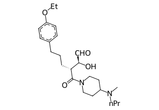 CCCN(C)C1CCN(C(=O)[C@H](CCCc2ccc(OCC)cc2)[C@H](O)C=O)CC1